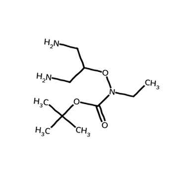 CCN(OC(CN)CN)C(=O)OC(C)(C)C